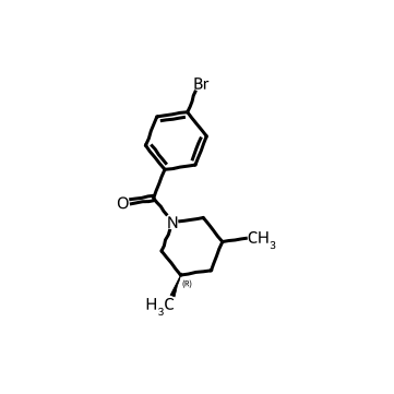 CC1C[C@@H](C)CN(C(=O)c2ccc(Br)cc2)C1